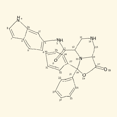 O=C(Nc1ccc2cc[nH]c2c1)C1CNCC2C(=O)OC(c3ccccc3)(c3ccccc3)N12